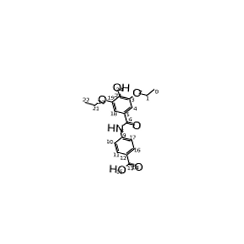 CCOc1cc(C(=O)Nc2ccc(C(=O)O)cc2)cc(OCC)c1O